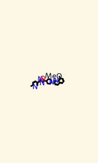 COc1cccc2ccc(N3CCC(c4nc(-c5ccc(C)nc5)no4)CC3)nc12